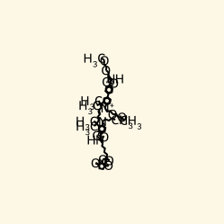 CCCCN1C(=CC=CC2=[N+](CCOCCOC)c3ccc(-c4ccc(S(=O)(=O)NCCOCCOC)cc4)cc3C2(C)C)C(C)(C)c2cc(S(=O)(=O)NCCCCCC(=O)ON3C(=O)CCC3=O)ccc21